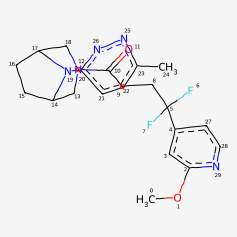 COc1cc(C(F)(F)CCC(=O)N2CC3CCC(C2)N3c2ccc(C)nn2)ccn1